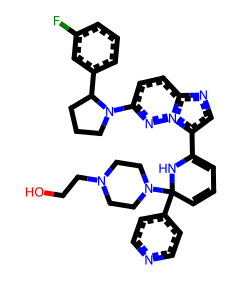 OCCN1CCN(C2(c3ccncc3)C=CC=C(c3cnc4ccc(N5CCCC5c5cccc(F)c5)nn34)N2)CC1